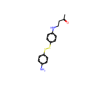 CC(=O)CCNc1ccc(SSc2ccc(N)cc2)cc1